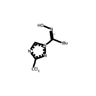 CC(C)(C)/C(=N/O)n1cnc(C(Cl)(Cl)Cl)n1